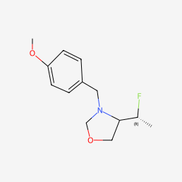 COc1ccc(CN2COCC2[C@@H](C)F)cc1